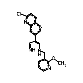 COc1ncccc1CN/C=C(\C=N)c1cnc2ccc(Cl)nc2c1